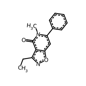 CCc1noc2cc(-c3ccccc3)n(C)c(=O)c12